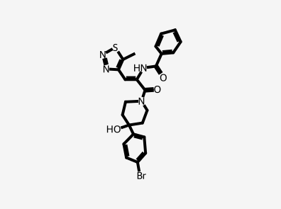 Cc1snnc1/C=C(\NC(=O)c1ccccc1)C(=O)N1CCC(O)(c2ccc(Br)cc2)CC1